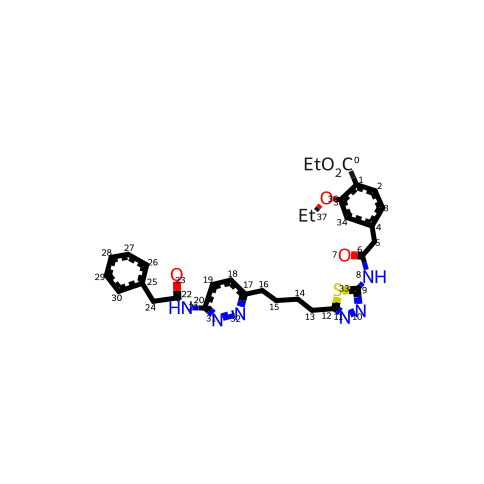 CCOC(=O)c1ccc(CC(=O)Nc2nnc(CCCCc3ccc(NC(=O)Cc4ccccc4)nn3)s2)cc1OCC